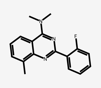 Cc1cccc2c(N(C)C)nc(-c3ccccc3F)nc12